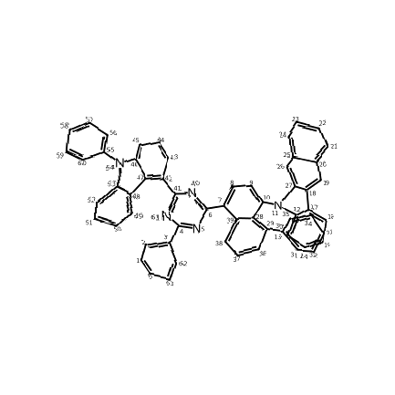 c1ccc(-c2nc(-c3ccc(-n4c5ccccc5c5cc6ccccc6cc54)c4c(-c5ccccc5)cccc34)nc(-c3cccc4c3c3ccccc3n4-c3ccccc3)n2)cc1